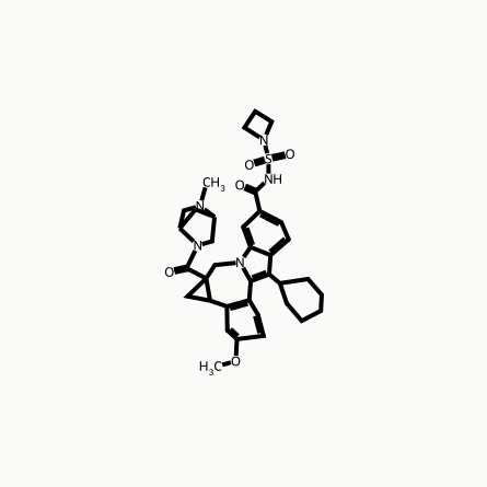 COc1ccc2c(c1)C1CC1(C(=O)N1CC3CC1CN3C)Cn1c-2c(C2CCCCC2)c2ccc(C(=O)NS(=O)(=O)N3CCC3)cc21